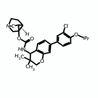 CC(C)Oc1ccc(-c2ccc3c(c2)OCC(C)(C)C3NC(=O)O[C@H]2CN3CCC2CC3)cc1Cl